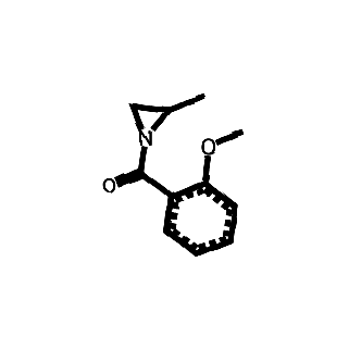 COc1ccccc1C(=O)N1CC1C